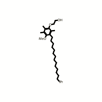 COc1c(C)c(C)c(OCCO)c(C)c1CCCCCCCCCCCCCCC(C)C